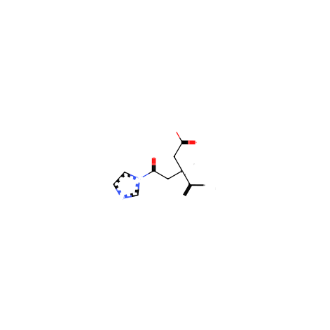 C=C(C)[C@](C)(CC(=O)O)CC(=O)n1ccnc1